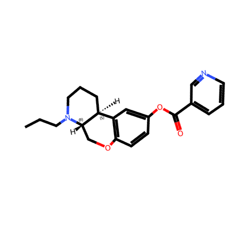 CCCN1CCC[C@H]2c3cc(OC(=O)c4cccnc4)ccc3OC[C@@H]21